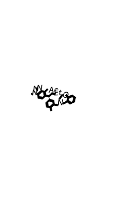 CC[C@@H]1CN(Cc2cc([C@H](c3ccc4c(nnn4C)c3C)[C@@H](C)C(C)=O)ccc2C)Cc2ccccc2O1